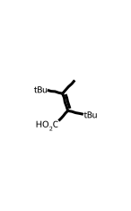 C/C(=C(/C(=O)O)C(C)(C)C)C(C)(C)C